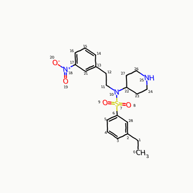 CCc1cccc(S(=O)(=O)N(CCc2cccc([N+](=O)[O-])c2)C2CCNCC2)c1